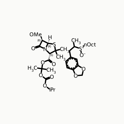 CCCCCCCC[S+]([O-])C(C)Cc1ccc2c(c1)OCO2.CO[C@@H]1C(=O)N2[C@@H]1SC(C)(C)[C@@H]2C(=O)OC(C)(C)OC(=O)OC(C)C